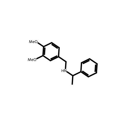 COc1ccc(CNC(C)c2ccccc2)cc1OC